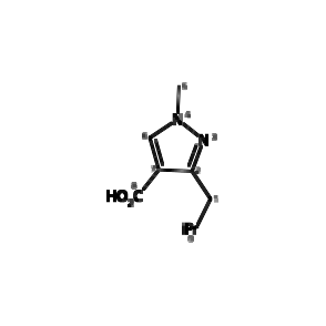 CC(C)Cc1nn(C)cc1C(=O)O